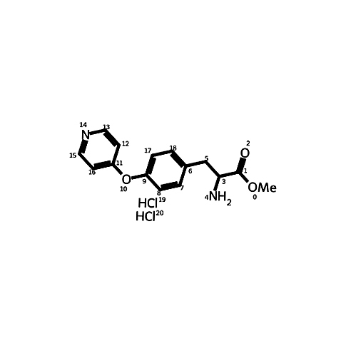 COC(=O)C(N)Cc1ccc(Oc2ccncc2)cc1.Cl.Cl